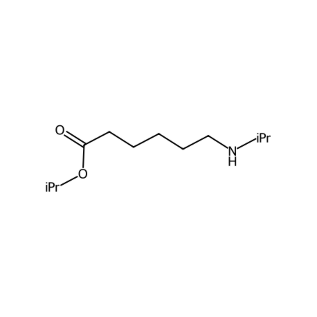 CC(C)NCCCCCC(=O)OC(C)C